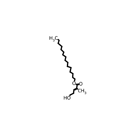 CCCCCCCCCCCCCCCCOC(=O)C(C)=CCCO